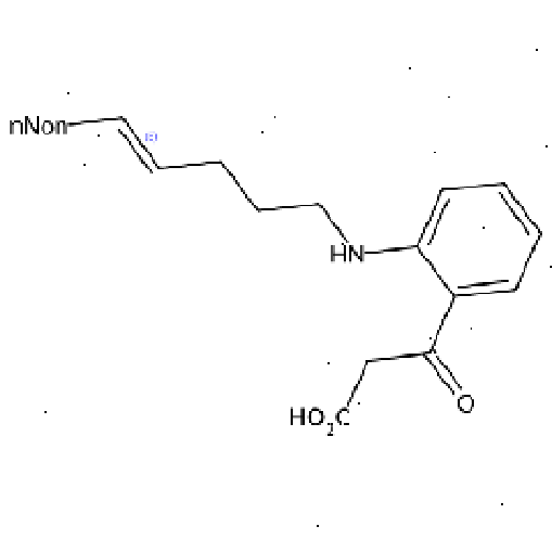 CCCCCCCCC/C=C/CCCNc1ccccc1C(=O)CC(=O)O